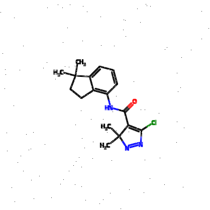 CC1(C)N=NC(Cl)=C1C(=O)Nc1cccc2c1CCC2(C)C